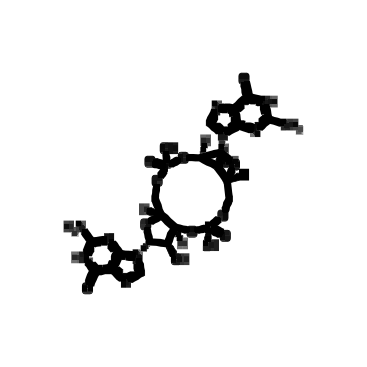 Nc1nc2c(ncn2[C@@H]2O[C@@H]3COP(=O)(O)O[C@@H]4[C@H](O)[C@@H](CO[P@@](=O)(S)O[C@H]3[C@H]2O)O[C@H]4n2cnc3c(=O)[nH]c(N)nc32)c(=O)[nH]1